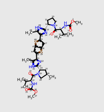 COC(=O)N[C@H](C(=O)N1CCC[C@H]1c1nc(-c2cc3sc(-c4nc([C@@H]5C[C@H](C)CN5C(=O)[C@@H](NC(=O)OC)C(C)C)[nH]c4C)cc3s2)c(C)[nH]1)C(C)C